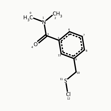 CN(C)C(=O)c1cccc(CSCl)c1